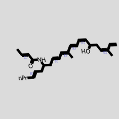 C=C/C(C)=C\CC(O)\C=C/C=C/C(C)=C/C=C/CC(C/C=C/CCC)NC(=O)/C=C/C